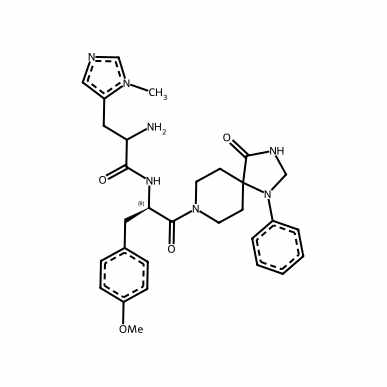 COc1ccc(C[C@@H](NC(=O)C(N)Cc2cncn2C)C(=O)N2CCC3(CC2)C(=O)NCN3c2ccccc2)cc1